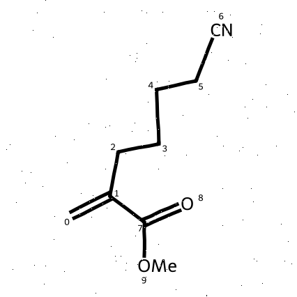 C=C(CCCCC#N)C(=O)OC